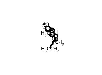 CC(C)CCC[C@@H](C)[C@H]1CC[C@H]2[C@@H]3CC=C4CC5(CC[C@]4(C)[C@H]3CC[C@]12C)OCCO5